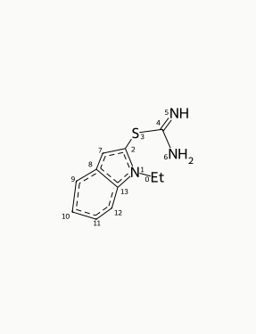 CCn1c(SC(=N)N)cc2ccccc21